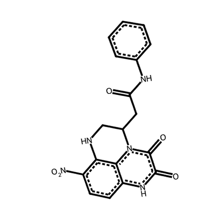 O=C(CC1CNc2c([N+](=O)[O-])ccc3[nH]c(=O)c(=O)n1c23)Nc1ccccc1